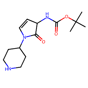 CC(C)(C)OC(=O)NC1C=CN(C2CCNCC2)C1=O